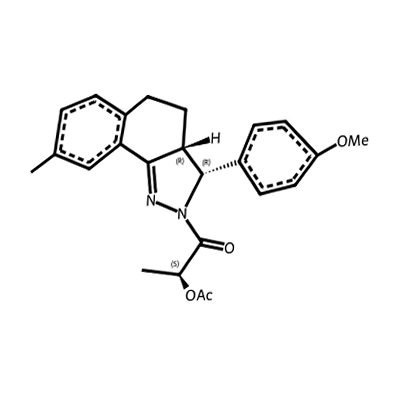 COc1ccc([C@H]2[C@H]3CCc4ccc(C)cc4C3=NN2C(=O)[C@H](C)OC(C)=O)cc1